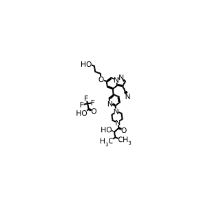 CC(C)[C@@H](O)C(=O)N1CCN(c2ccc(-c3cc(OCCCO)cn4ncc(C#N)c34)cn2)CC1.O=C(O)C(F)(F)F